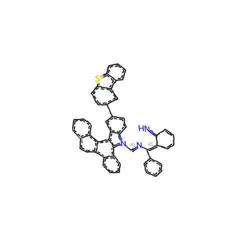 N=C1C=CC=C/C1=C(/N=C/n1c2ccc(-c3ccc4sc5ccccc5c4c3)cc2c2c3c4ccccc4ccc3c3ccccc3c21)c1ccccc1